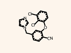 N#Cc1ccc(Cn2ccnc2)cc1Oc1cccc(Cl)c1Cl